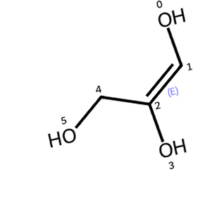 O/C=C(/O)CO